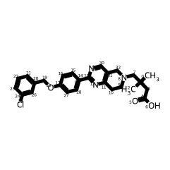 CC(C)(CC(=O)O)CN1CCc2nc(-c3ccc(OCc4cccc(Cl)c4)cc3)ncc2C1